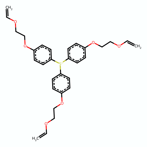 C=COCCOc1ccc([S+](c2ccc(OCCOC=C)cc2)c2ccc(OCCOC=C)cc2)cc1